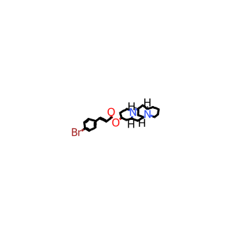 O=C(/C=C/c1ccc(Br)cc1)OC1CCN2[C@@H]3C[C@@H](C[C@@H]2C1)N1CCCC[C@@H]1C3